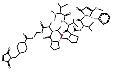 COC1=CC(=O)N(C(=O)C(OC(=O)[C@]2(C(=O)[C@@H](NC(=O)[C@H](C(C)C)N(C)C)C(C)C)CCCN2C(=O)[C@@H]2CCCN2C(=O)[C@H](C(C)C)N(C)C(=O)OCOC(=O)C2CCC(CN3C(=O)C=CC3=O)CC2)C(C)C)[C@H]1Cc1ccccc1